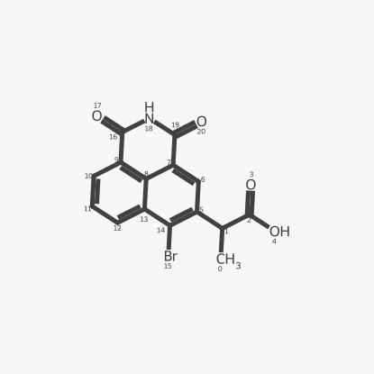 CC(C(=O)O)c1cc2c3c(cccc3c1Br)C(=O)NC2=O